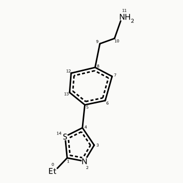 CCc1ncc(-c2ccc(CCN)cc2)s1